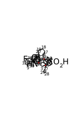 O=C(O)c1ccc(NC(=O)C2C3CC(OCc4c(-c5ccccc5OC(F)(F)F)noc4C4CC4)CC2C3)c(F)c1